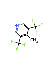 CC1=C(C(F)(F)F)[C]=[N+][C]=C1C(F)(F)F